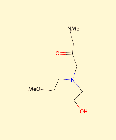 CNCC(=O)CN(CCO)CCOC